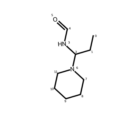 CCC(NC=O)N1CCCCC1